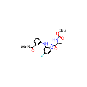 CNC(=O)c1cccc(Nc2cc(F)ccc2NC(=O)[C@H](C)NC(=O)OC(C)(C)C)c1